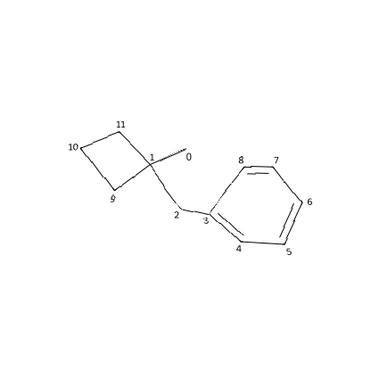 CC1(Cc2ccccc2)CCC1